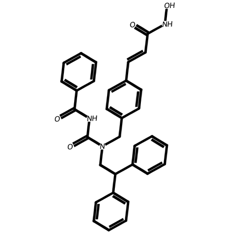 O=C(/C=C/c1ccc(CN(CC(c2ccccc2)c2ccccc2)C(=O)NC(=O)c2ccccc2)cc1)NO